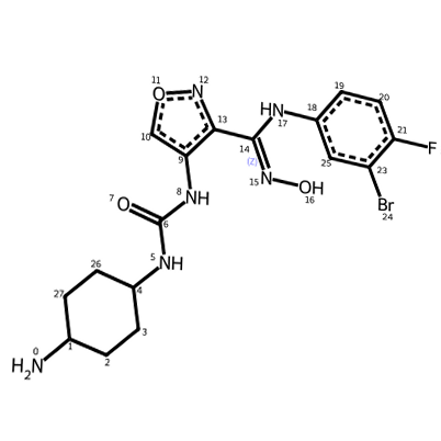 NC1CCC(NC(=O)Nc2conc2/C(=N/O)Nc2ccc(F)c(Br)c2)CC1